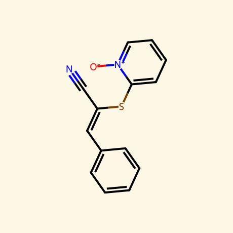 N#CC(=Cc1ccccc1)Sc1cccc[n+]1[O-]